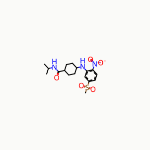 CC(C)NC(=O)C1CCC(Nc2cc(S(C)(=O)=O)ccc2[N+](=O)[O-])CC1